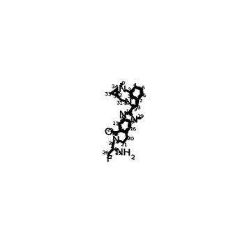 CN(C)c1cccc2cc(-c3nc4cc5c(cc4n3C)CCN(C[C@H](N)CF)C5=O)n(CC3CC3)c12